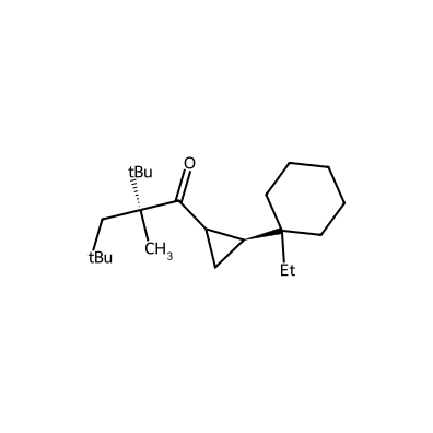 CCC1([C@H]2CC2C(=O)[C@@](C)(CC(C)(C)C)C(C)(C)C)CCCCC1